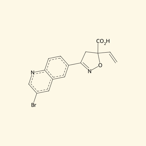 C=CC1(C(=O)O)CC(c2ccc3ncc(Br)cc3c2)=NO1